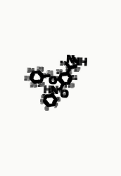 O=C(Nc1ccccc1)c1ccc(-c2cn[nH]c2)cc1OCc1ccccc1